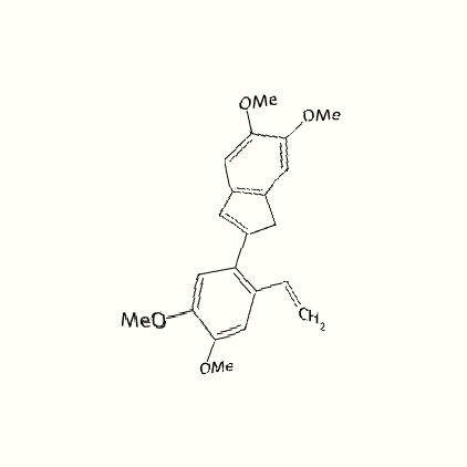 C=Cc1cc(OC)c(OC)cc1C1=Cc2cc(OC)c(OC)cc2C1